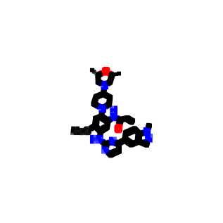 C=CC(=O)Nc1cc(Nc2nccc(-c3ccc4c(cnn4C)c3)n2)c(OC)cc1N1CCC(N2C[C@@H](C)O[C@@H](C)C2)CC1